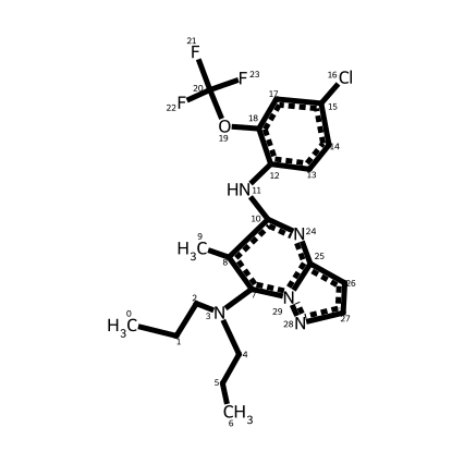 CCCN(CCC)c1c(C)c(Nc2ccc(Cl)cc2OC(F)(F)F)nc2ccnn12